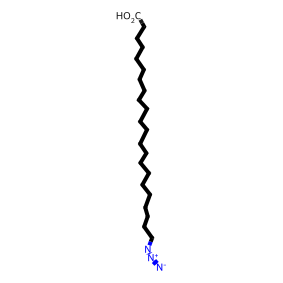 [N-]=[N+]=NCCCCCCCCCCCCCCCCCCCCCC(=O)O